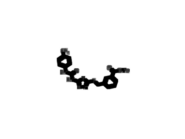 COC(=O)c1cccc(CSc2nnc(NC(=O)Nc3ccc(C(F)(F)F)cc3)s2)c1